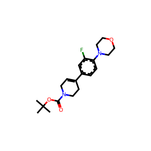 CC(C)(C)OC(=O)N1CC=C(c2ccc(N3CCOCC3)c(F)c2)CC1